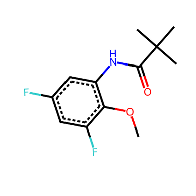 COc1c(F)cc(F)cc1NC(=O)C(C)(C)C